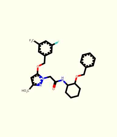 O=C(Cn1nc(C(=O)O)cc1OCc1cc(F)cc(C(F)(F)F)c1)NC1CCCCC1OCc1ccccc1